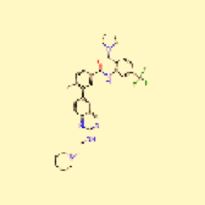 Cc1ccc(C(=O)Nc2cc(C(F)(F)F)ccc2CN2CCCC2)cc1-c1ccc2nc(NCCN3CCCCC3)ncc2c1